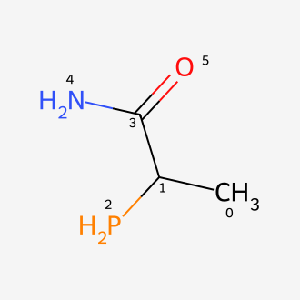 CC(P)C(N)=O